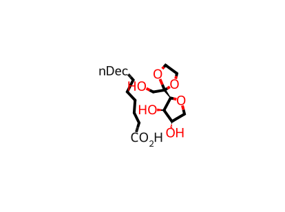 CCCCCCCCCCCCCCCC(=O)O.OCC1([C@H]2OC[C@H](O)[C@H]2O)OCCO1